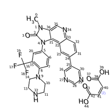 Cn1c(=O)n(-c2ccc(N3CCNCC3)c(C(F)(F)F)c2)c2c3cc(-c4cncnc4)ccc3ncc21.O=C(O)/C=C\C(=O)O